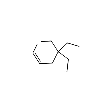 CCC1(CC)CC=COC1